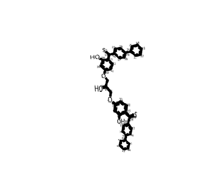 Oc1cc(OCC(O)COc2ccc(C(=S)c3ccc(-c4ccccc4)cc3)c(O)c2)ccc1C(=S)c1ccc(-c2ccccc2)cc1